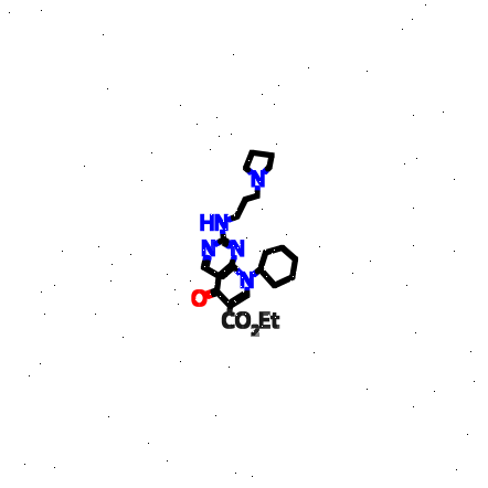 CCOC(=O)c1cn(C2CCCCC2)c2nc(NCCCN3CCCC3)ncc2c1=O